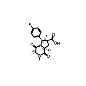 C[C@@H]1C(=O)N2[C@@H](c3ccc(F)cc3)[C@@](C)(C(=O)O)C[C@H]2C(=O)N1C